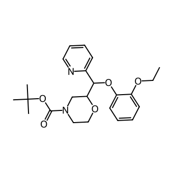 CCOc1ccccc1OC(c1ccccn1)C1CN(C(=O)OC(C)(C)C)CCO1